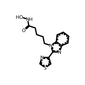 O=C(CCCCn1c(-c2cscn2)nc2ccccc21)NO